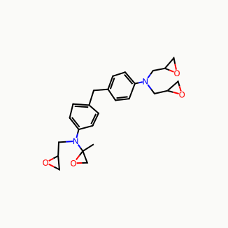 CC1(N(CC2CO2)c2ccc(Cc3ccc(N(CC4CO4)CC4CO4)cc3)cc2)CO1